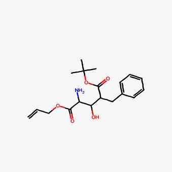 C=CCOC(=O)C(N)C(O)C(Cc1ccccc1)C(=O)OC(C)(C)C